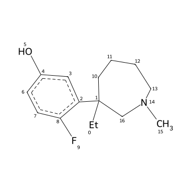 CCC1(c2cc(O)ccc2F)CCCCN(C)C1